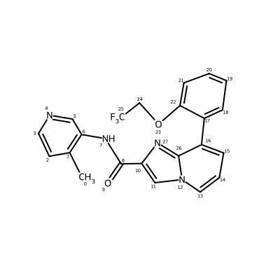 Cc1ccncc1NC(=O)c1cn2cccc(-c3ccccc3OCC(F)(F)F)c2n1